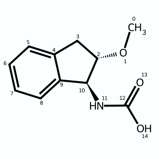 CO[C@H]1Cc2ccccc2[C@@H]1NC(=O)O